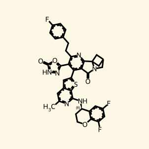 Cc1cc2cc(-c3c4c(nc(CCc5ccc(F)cc5)c3-c3n[nH]c(=O)o3)C35CC(CN3C4=O)C5)sc2c(N[C@@H]2CCOc3c(F)cc(F)cc32)n1